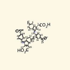 CC1=C(CC(=O)O)c2cc(F)ccc2/C1=C/c1ccc([S+](C)[O-])cc1.CC1=C(CC(=O)O)c2cc(F)ccc2/C1=C\c1ccc([S+](C)[O-])cc1